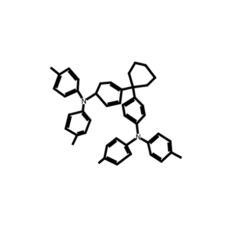 Cc1ccc(N(c2ccc(C)cc2)c2ccc(C3(C4=CCC(N(c5ccc(C)cc5)c5ccc(C)cc5)C=C4)CCCCC3)cc2)cc1